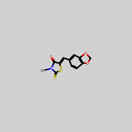 CCN1C(=O)/C(=C/c2ccc3c(c2)OCO3)SC1=S